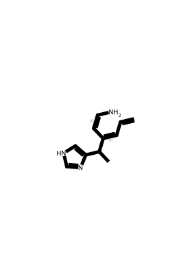 C=C/C=C(\C=C/N)C(C)c1c[nH]cn1